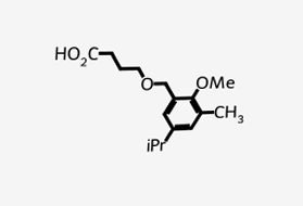 COc1c(C)cc(C(C)C)cc1COCCCC(=O)O